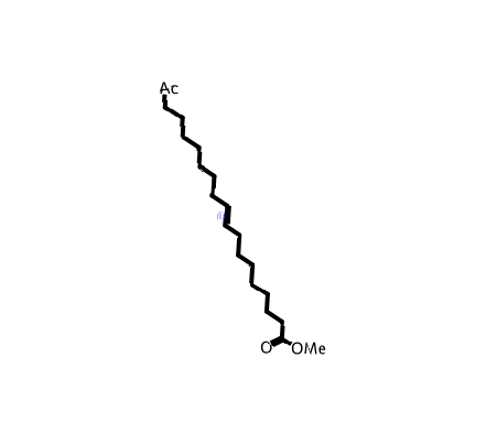 COC(=O)CCCCCCC/C=C/CCCCCCCC(C)=O